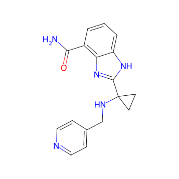 NC(=O)c1cccc2[nH]c(C3(NCc4ccncc4)CC3)nc12